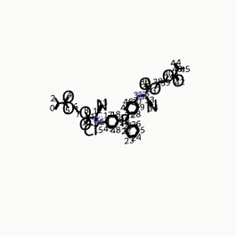 C=C(C)C(=O)OCCOC(=O)/C(C#N)=C(\Cl)c1ccc(P(c2ccccc2)c2ccc(/C=C(\C#N)C(=O)OCCOC(=O)C(=C)C)cc2)cc1